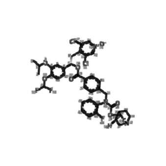 CC(C)Oc1cc([C@H](Cc2c(Cl)c[n+]([O-])cc2Cl)OC(=O)c2ccc(CN(C(=O)O[C@H]3CN4CCC3CC4)c3ccccc3F)cc2)ccc1OC(F)F